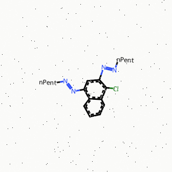 CCCCCN=Nc1cc(N=NCCCCC)c2ccccc2c1Cl